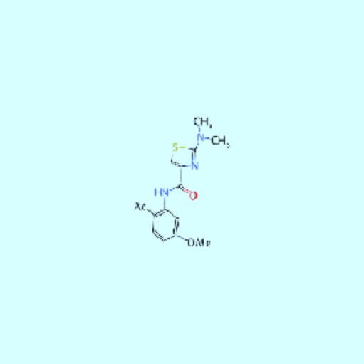 COc1ccc(C(C)=O)c(NC(=O)c2csc(N(C)C)n2)c1